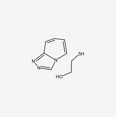 OCCS.c1ccn2cnnc2c1